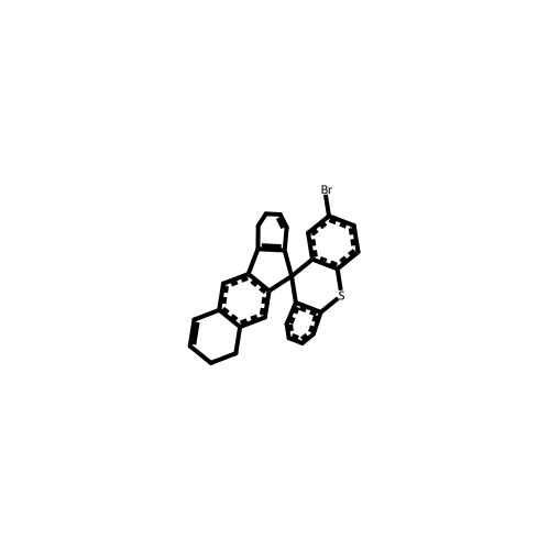 Brc1ccc2c(c1)C1(C3=C(CCC=C3)c3cc4c(cc31)CCC=C4)c1ccccc1S2